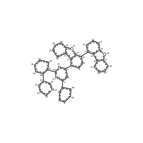 c1ccc(-c2cc(-c3ccc(-c4cccc5oc6ccccc6c45)c4oc5ccccc5c34)nc(-c3ccccc3-c3cccnc3)n2)cc1